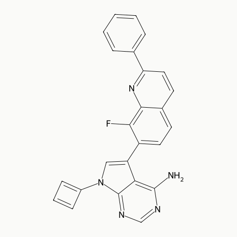 Nc1ncnc2c1c(-c1ccc3ccc(-c4ccccc4)nc3c1F)cn2C1=CC=C1